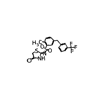 Cc1ccc(Cc2cccc(C(F)(F)F)c2)cc1S(=O)(=O)N=C1NC(=O)CS1